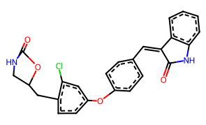 O=C1NCC(Cc2ccc(Oc3ccc(C=C4C(=O)Nc5ccccc54)cc3)cc2Cl)O1